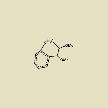 COC(C)C(OC)c1ccccc1Cl